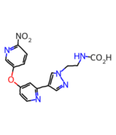 O=C(O)NCCn1cc(-c2cc(Oc3ccc([N+](=O)[O-])nc3)ccn2)cn1